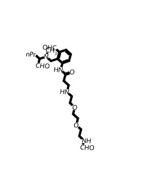 CCCC(C=O)N(C)Cc1c(C=O)cccc1NC(=O)CCNCCOCCOCCNC=O